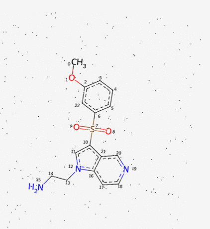 COc1cccc(S(=O)(=O)c2cn(CCN)c3ccncc23)c1